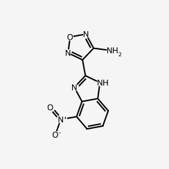 Nc1nonc1-c1nc2c([N+](=O)[O-])cccc2[nH]1